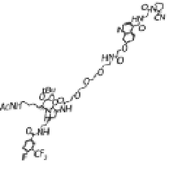 CC(=O)NCCCC[C@H](NC(=O)[C@H](CCCCNC(=O)c1ccc(F)c(C(F)(F)F)c1)NC(=O)CCOCCOCCOCCNC(=O)COc1ccc2c(C(=O)NCC(=O)N3CCC[C@H]3C#N)ccnc2c1)C(=O)OC(C)(C)C